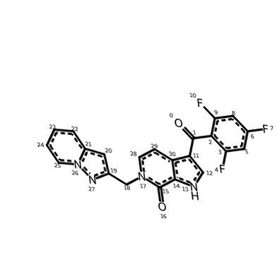 O=C(c1c(F)cc(F)cc1F)c1c[nH]c2c(=O)n(Cc3cc4ccccn4n3)ccc12